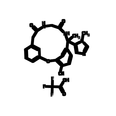 Cn1cncc1C1(C)NC(=O)CNC(=O)Cc2cccc(c2)Oc2cc1ccc2C#N.O=C(O)C(F)(F)F